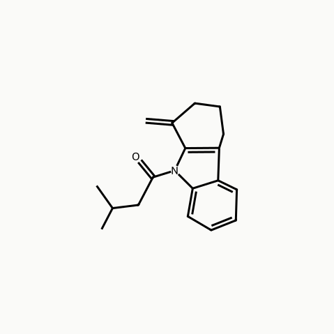 C=C1CCCc2c1n(C(=O)CC(C)C)c1ccccc21